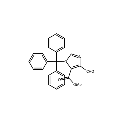 COC(=O)c1c(C=O)ncn1C(c1ccccc1)(c1ccccc1)c1ccccc1